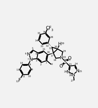 Cc1cc2c(cnn2-c2ccc(F)cc2)cc1[C@]12CN(S(=O)(=O)c3cnn(C)n3)C[C@H]1[C@H]2c1cccc(C(F)(F)F)c1